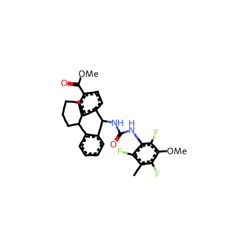 COC(=O)c1ccc(C(NC(=O)Nc2c(F)c(C)c(F)c(OC)c2F)c2ccccc2C2CCCCC2)cc1